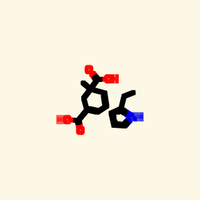 CC1(C(=O)O)C=CC=C(C(=O)O)C1.CCc1ccc[nH]1